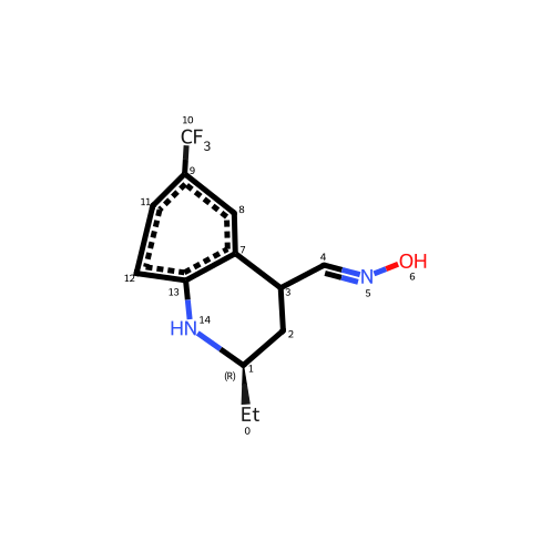 CC[C@@H]1CC(C=NO)c2cc(C(F)(F)F)ccc2N1